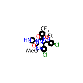 CCOc1cc(C(F)(F)F)ccc1C1(C(=O)N(CC(=O)NOC)C2CCNCC2)NC(c2ccc(Cl)cc2)C(c2ccc(Cl)cc2)N1